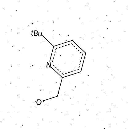 CC(C)(C)c1cccc(C[O])n1